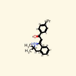 CC(C)c1ccc(C(=O)/C=C2\NC(C)(C)Cc3ccccc32)cc1